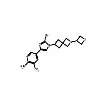 CC(C)c1nc(-c2cnc(N)c(C(F)(F)F)c2)cn1C1CC2(C1)CN(C1COC1)C2